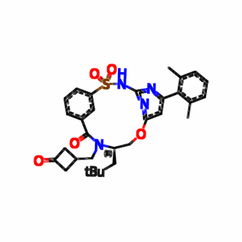 Cc1cccc(C)c1-c1cc2nc(n1)NS(=O)(=O)c1cccc(c1)C(=O)N(CC1CC(=O)C1)[C@H](CC(C)(C)C)CO2